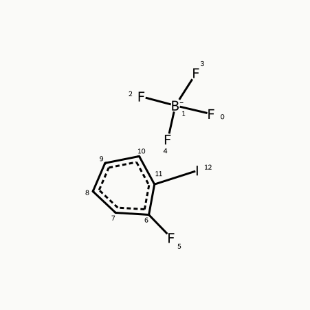 F[B-](F)(F)F.Fc1ccccc1I